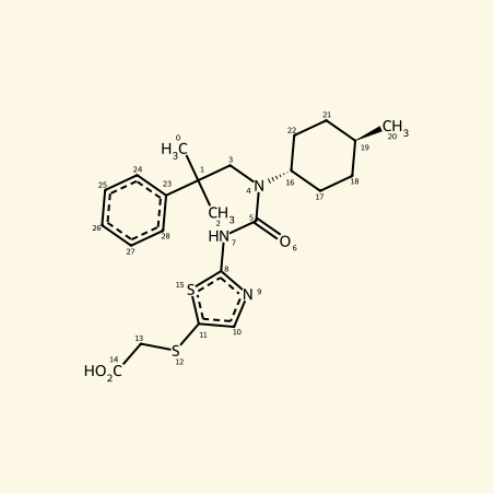 CC(C)(CN(C(=O)Nc1ncc(SCC(=O)O)s1)[C@H]1CC[C@H](C)CC1)c1ccccc1